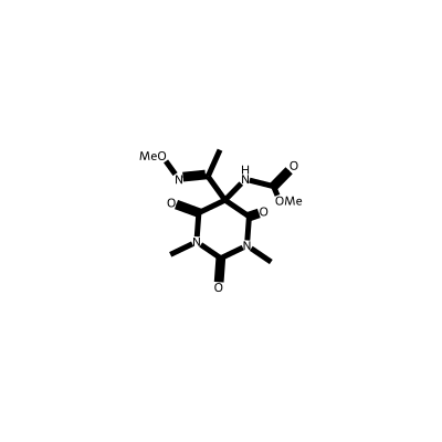 CON=C(C)C1(NC(=O)OC)C(=O)N(C)C(=O)N(C)C1=O